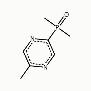 Cc1cnc(P(C)(C)=O)cn1